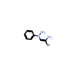 CC(C)/C(N)=C/N(N)c1ccccc1